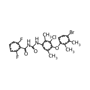 Cc1cc(NC(=O)NC(=O)c2c(F)cccc2F)c(C)c(Cl)c1Oc1ccc(Br)c(C)c1C